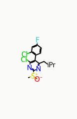 CC(C)Cc1nc([S+](C)[O-])nc(Cl)c1-c1ccc(F)cc1Cl